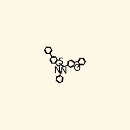 c1ccc(-c2ccc3c(c2)sc2c(-c4ccc5c(c4)oc4ccccc45)nc(-c4ccccc4)nc23)cc1